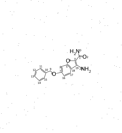 NC(=O)c1oc2cc(OCc3ccccc3)ccc2c1N